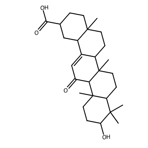 CC12CCC(C(=O)O)CC1C1=CC(=O)C3C(C)(CCC4C(C)(C)C(O)CCC43C)C1CC2